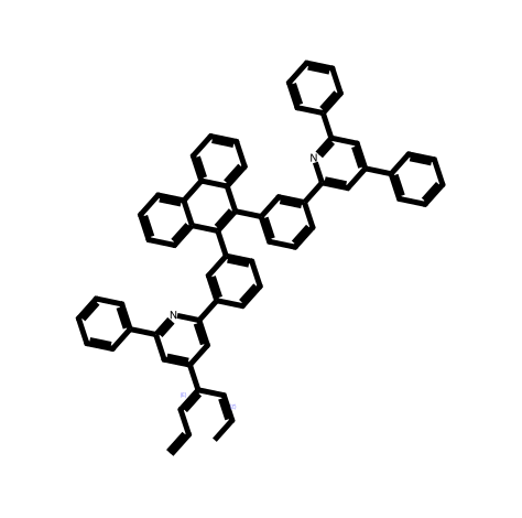 C=C/C=C(\C=C/C)c1cc(-c2ccccc2)nc(-c2cccc(-c3c(-c4cccc(-c5cc(-c6ccccc6)cc(-c6ccccc6)n5)c4)c4ccccc4c4ccccc34)c2)c1